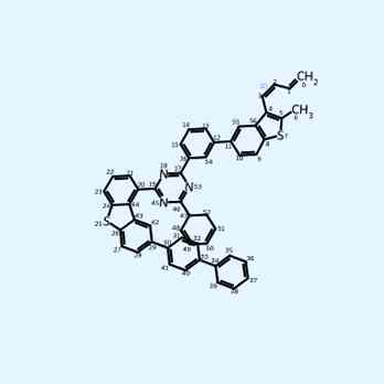 C=C/C=C\c1c(C)sc2ccc(-c3cccc(-c4nc(-c5cccc6sc7ccc(-c8ccc(-c9ccccc9)cc8)cc7c56)nc(C5C=CC=CC5)n4)c3)cc12